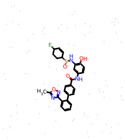 Cc1nc(-c2ccccc2-c2ccc(C(=O)Nc3ccc(O)c(N[S+]([O-])C4C=CC(F)CC4)c3)cc2)no1